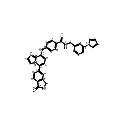 O=C(NCc1cccc(-n2cccc2)c1)c1ccc(Nc2ccc(-c3ccc4c(c3)CNC4=O)n3ccnc23)cc1